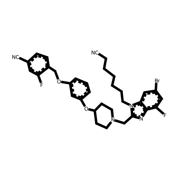 N#CCCCCCCn1c(CN2CCC(Oc3cccc(OCc4ccc(C#N)cc4F)c3)CC2)nc2c(F)cc(Br)cc21